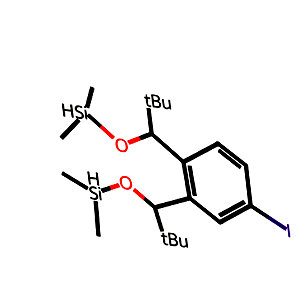 C[SiH](C)OC(c1ccc(I)cc1C(O[SiH](C)C)C(C)(C)C)C(C)(C)C